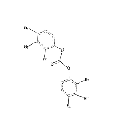 O=C(Oc1ccc(Br)c(Br)c1Br)Oc1ccc(Br)c(Br)c1Br